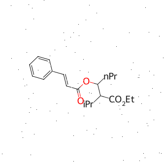 CCCC(OC(=O)C=Cc1ccccc1)C(C(=O)OCC)C(C)C